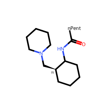 CCCCCC(=O)NC1CCCC[C@H]1CN1CCCCC1